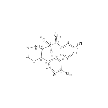 C=C(c1cccc(Cl)c1)S(=O)(=O)N1NCCCC1c1ccc(Cl)cc1